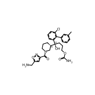 Cc1cccc(-c2c(Cl)cccc2[C@](O)(CCCOC(N)=O)[C@@H]2CCCN(C(=O)c3cc(CN)on3)C2)c1